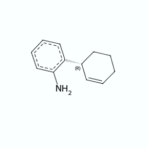 Nc1ccccc1[C@H]1C=CCCC1